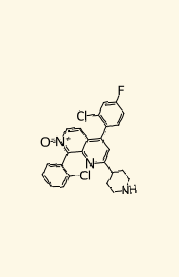 [O-][n+]1ccc2c(-c3ccc(F)cc3Cl)cc(C3CCNCC3)nc2c1-c1ccccc1Cl